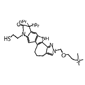 CCCC1(CCC)C(=O)N(CCS)c2cc3c4c([nH]c3cc21)-c1nn(COCC[Si](C)(C)C)cc1CCC4